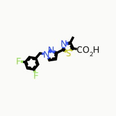 Cc1nc(-c2ccn(Cc3cc(F)cc(F)c3)n2)sc1C(=O)O